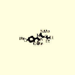 CCC(CC)Oc1nc(Br)c(-c2ccc(OC(C)C)cc2OC)nc1NC